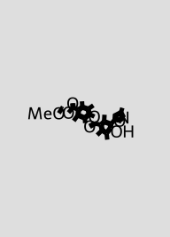 COCOC(=O)c1c(C)c(C)c(OC(=O)c2c(C)c(C)c(O)c(-c3cc(C)no3)c2C)c(C)c1C